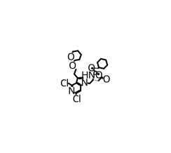 O=CC[C@H](Cn1cc(CCOC2CCCCO2)c2c(Cl)nc(Cl)cc21)NS(=O)(=O)C1CCCCC1